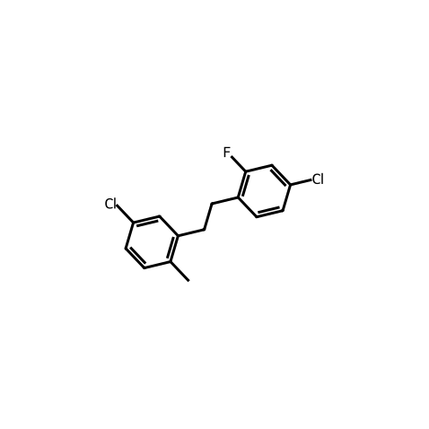 Cc1ccc(Cl)cc1CCc1ccc(Cl)cc1F